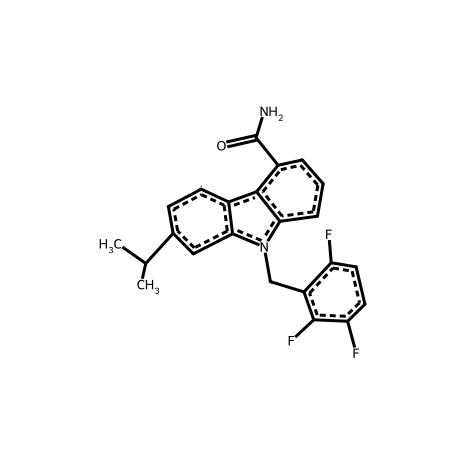 CC(C)c1c[c]c2c3c(C(N)=O)cccc3n(Cc3c(F)ccc(F)c3F)c2c1